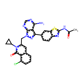 CC(=O)Nc1nc2ccc(-c3nn(Cc4cc5cccc(Cl)c5c(=O)n4C4CC4)c4ncnc(N)c34)cc2s1